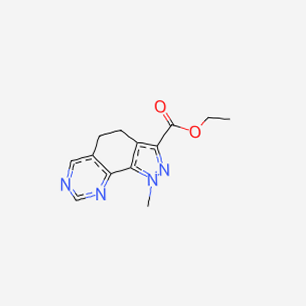 CCOC(=O)c1nn(C)c2c1CCc1cncnc1-2